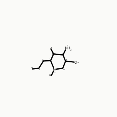 CCCC1C(C)C(N)C(Cl)CN1C